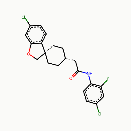 O=C(C[C@H]1CC[C@]2(CC1)COc1cc(Cl)ccc12)Nc1ccc(Cl)cc1F